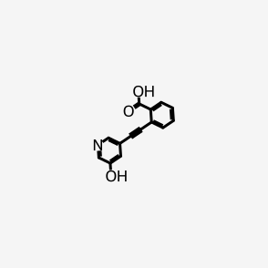 O=C(O)c1ccccc1C#Cc1cncc(O)c1